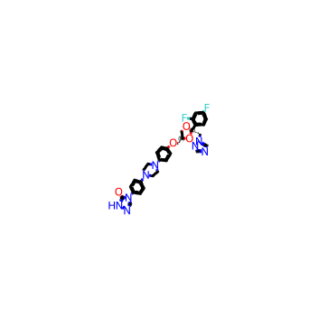 O=c1[nH]ncn1-c1ccc(N2CCN(c3ccc(OC[C@@H]4CO[C@@](Cn5cncn5)(c5ccc(F)cc5F)O4)cc3)CC2)cc1